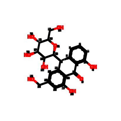 O=C1c2c(O)cccc2[C@@H]([C@@H]2OC(CO)[C@@H](O)[C@H](O)C2O)c2cc(CO)cc(O)c21